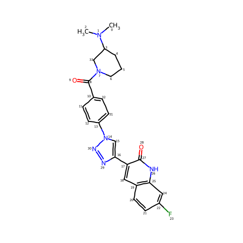 CN(C)C1CCCN(C(=O)c2ccc(-n3cc(-c4cc5ccc(F)cc5[nH]c4=O)nn3)cc2)C1